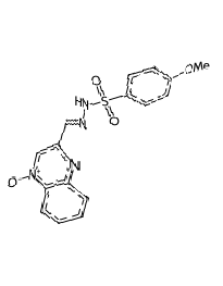 COc1ccc(S(=O)(=O)NN=Cc2c[n+]([O-])c3ccccc3n2)cc1